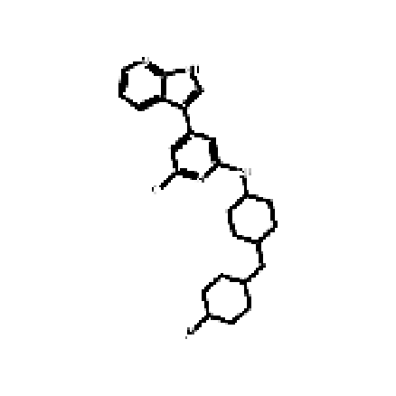 NC1CCC(CC2CCC(Nc3cc(-c4c[nH]c5ncccc45)cc(Cl)n3)CC2)CC1